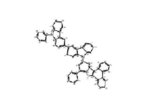 c1ccc(-c2nc(-n3c4ccccc4c4cc(-c5ccc6c(c5)c5ccccc5n6-c5ccccc5)ccc43)nc3c2sc2c4ccccc4c4ccccc4c32)cc1